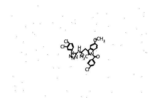 COc1ccc2c(c1)c(CC(=O)Nc1nnnn1-c1ccc(Cl)c(Cl)c1)c(C)n2C(=O)c1ccc(Cl)cc1